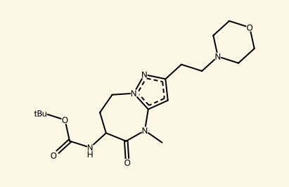 CN1C(=O)C(NC(=O)OC(C)(C)C)CCn2nc(CCN3CCOCC3)cc21